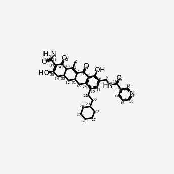 CC1=C2C(=O)c3c(O)c(CNC(=O)c4cccnc4)cc(CCC4CCCCC4)c3CC2CC2CC(O)=C(C(N)=O)C(=O)C12